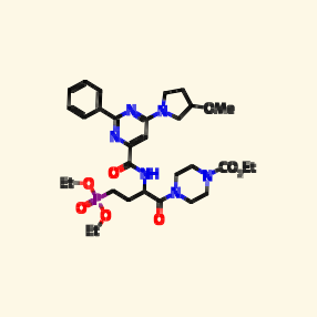 CCOC(=O)N1CCN(C(=O)C(CCP(=O)(OCC)OCC)NC(=O)c2cc(N3CCC(OC)C3)nc(-c3ccccc3)n2)CC1